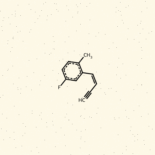 C#C/C=C\c1cc(F)ccc1C